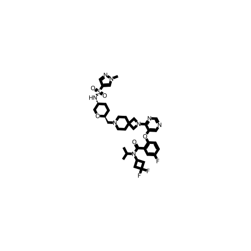 CC(C)N(C(=O)c1cc(F)ccc1Oc1cncnc1N1CC2(CCN(C[C@@H]3CC[C@@H](NS(=O)(=O)c4cnn(C)c4)CO3)CC2)C1)C1CC(F)(F)C1